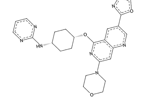 c1cnc(N[C@H]2CC[C@@H](Oc3nc(N4CCOCC4)cc4ncc(-c5nnco5)cc34)CC2)nc1